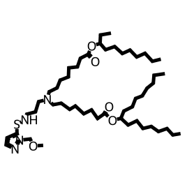 CCCCCCCCC(CC)OC(=O)CCCCCCCN(CCCCCCCC(=O)OC(CCCCCCCC)CCCCCCCC)CCCNSc1ccnn1COC